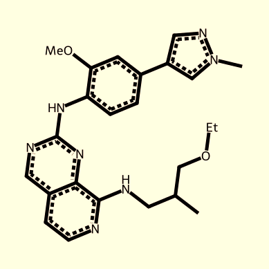 CCOCC(C)CNc1nccc2cnc(Nc3ccc(-c4cnn(C)c4)cc3OC)nc12